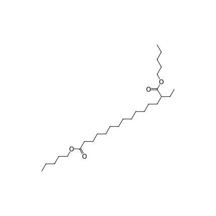 CCCCCOC(=O)CCCCCCCCCCCCC(CC)C(=O)OCCCCC